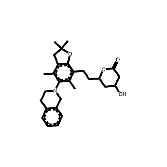 Cc1c(CCC2CC(O)CC(=O)O2)c2c(c(C)c1N1CCc3ccccc3C1)CC(C)(C)O2